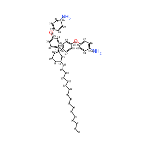 CCCCCCCCCCCCCCCCCC1CCCC(c2ccc(Oc3ccc(N)cc3)cc2)(c2ccc(Oc3ccc(N)cc3)cc2)C1